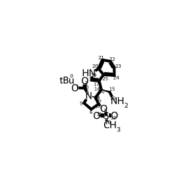 CC(C)(C)OC(=O)N1CC[C@H](OS(C)(=O)=O)[C@H]1[C@H](CN)c1c[nH]c2ccccc12